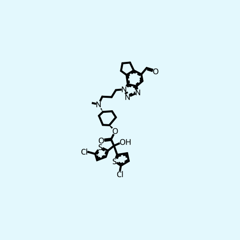 CN(CCCn1nnc2cc(C=O)c3c(c21)CCC3)[C@H]1CC[C@H](OC(=O)C(O)(c2ccc(Cl)s2)c2ccc(Cl)s2)CC1